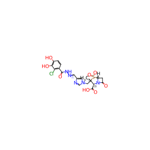 C[C@]1(Cn2cnc(/C=N/NC(=O)c3ccc(O)c(O)c3Cl)c2)[C@H](C(=O)O)N2C(=O)C[C@H]2S1(=O)=O